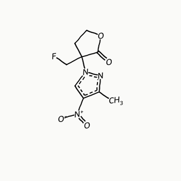 Cc1nn(C2(CF)CCOC2=O)cc1[N+](=O)[O-]